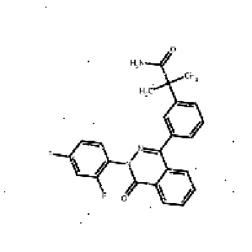 CC(C)(C(N)=O)c1cccc(-c2nn(-c3ccc(F)cc3F)c(=O)c3ccccc23)c1